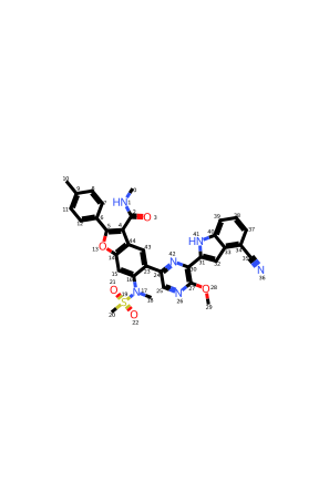 CNC(=O)c1c(-c2ccc(C)cc2)oc2cc(N(C)S(C)(=O)=O)c(-c3cnc(OC)c(-c4cc5c(C#N)cccc5[nH]4)n3)cc12